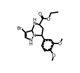 CCOC(=O)C1CC(c2ccc(OC)c(OC)c2)N2NC=C(Br)C2N1